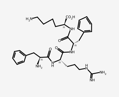 N=C(N)NCCC[C@H](NC(=O)[C@@H](N)Cc1ccccc1)C(=O)N[C@@H](Cc1ccccc1)C(=O)N[C@@H](CCCCN)C(=O)O